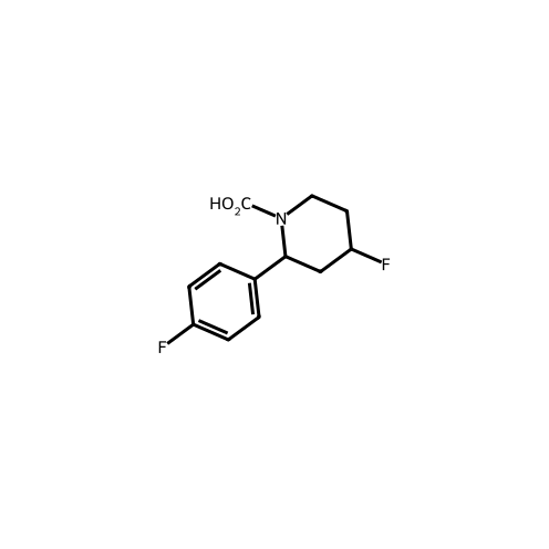 O=C(O)N1CCC(F)CC1c1ccc(F)cc1